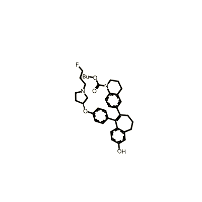 CC(C)(C)OC(=O)N1CCCc2cc(C3=C(c4ccc(O[C@H]5CCN(CCCF)C5)cc4)c4ccc(O)cc4CCC3)ccc21